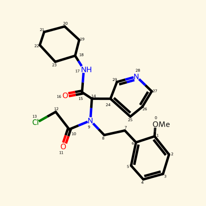 COc1ccccc1CCN(C(=O)CCl)C(C(=O)NC1CCCCC1)c1cccnc1